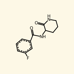 O=C(NC1CCCNC1=O)c1cccc(F)c1